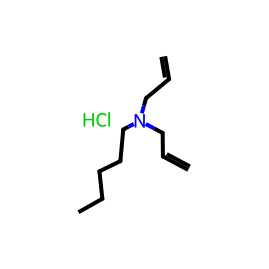 C=CCN(CC=C)CCCCC.Cl